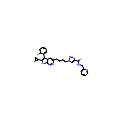 O=C(NCc1ccccn1)c1cn(CCCCc2cc3c(-c4ccccc4F)c(C4CC4)[nH]c3nn2)nn1